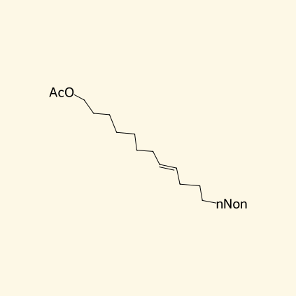 CCCCCCCCCCCCC=CCCCCCCCOC(C)=O